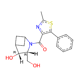 Cc1nc(C(=O)N2C3CC(C3)[C@@H](O)[C@H]2CO)c(-c2ccccc2)s1